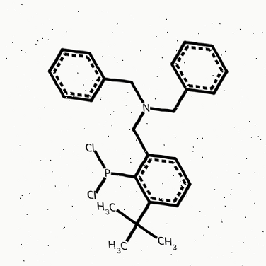 CC(C)(C)c1cccc(CN(Cc2ccccc2)Cc2ccccc2)c1P(Cl)Cl